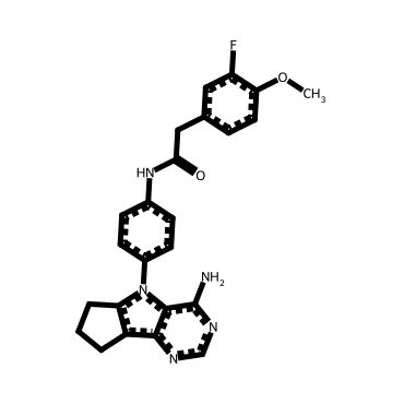 COc1ccc(CC(=O)Nc2ccc(-n3c4c(c5ncnc(N)c53)CCC4)cc2)cc1F